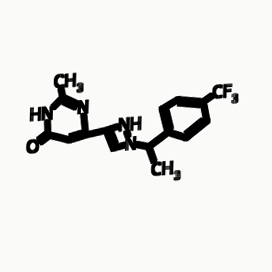 Cc1nc(-c2cn(C(C)c3ccc(C(F)(F)F)cc3)[nH]2)cc(=O)[nH]1